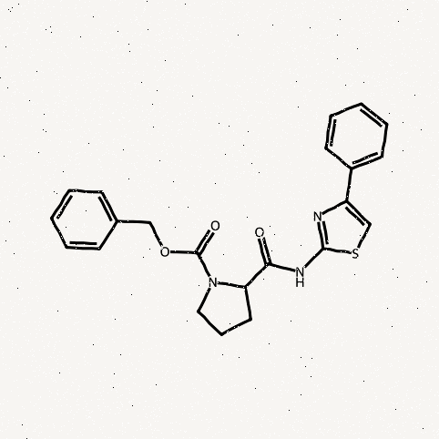 O=C(Nc1nc(-c2ccccc2)cs1)C1CCCN1C(=O)OCc1ccccc1